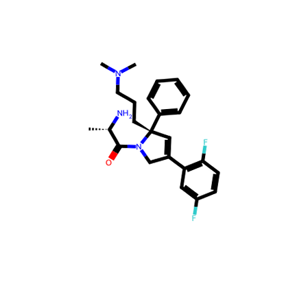 C[C@H](N)C(=O)N1CC(c2cc(F)ccc2F)=C[C@@]1(CCCN(C)C)c1ccccc1